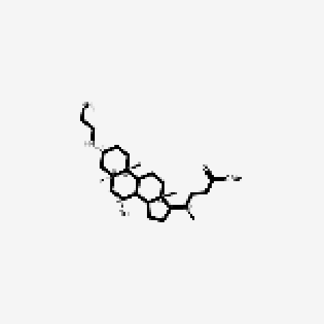 COC(=O)CC[C@@H](C)C1CCC2C3C(CC[C@@]21C)[C@@]1(C)CC[C@@H](NCCN)C[C@@H]1C[C@H]3O